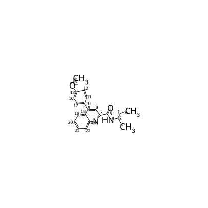 CCC(C)NC(=O)c1cc(-c2ccc(OC)cc2)c2ccccc2n1